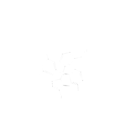 CCC1=C([Si](c2cc(C)cc(C)c2)(c2cc(C)cc(C)c2)c2cc(C)cc(C)c2)CC=[C]1[Ti+3].[Cl-].[Cl-].[Cl-]